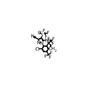 C=CC1(C(F)(F)F)Nc2c([S+]([O-])C(F)(F)F)c(C#N)nn2-c2c(Cl)cc(C(F)(F)F)cc21